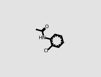 CC(=O)Nc1cc[c]cc1Cl